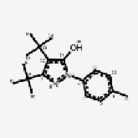 Cc1ccc(-n2nc(C(C)(C)C)c(C(C)(C)C)c2O)cc1